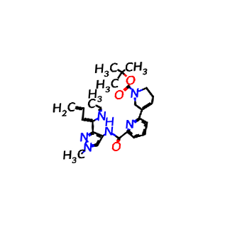 C=C/C=C(\N=C/C)c1nn(C)cc1NC(=O)c1cccc(C2=CCCN(C(=O)OC(C)(C)C)C2)n1